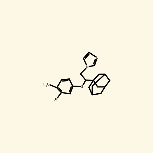 Cc1ccc(SC(Cn2ccnc2)C23CC4CC(CC(C4)C2)C3)cc1Br